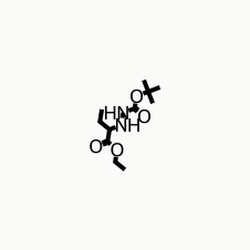 CCOC(=O)C(CC)NNC(=O)OC(C)(C)C